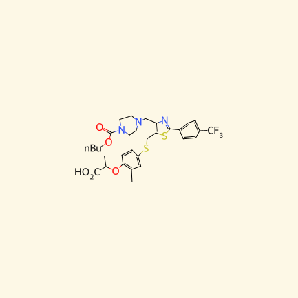 CCCCOC(=O)N1CCN(Cc2nc(-c3ccc(C(F)(F)F)cc3)sc2CSc2ccc(OC(C)C(=O)O)c(C)c2)CC1